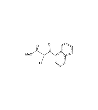 COC(=O)C(Cl)C(=O)c1cccc2ccccc12